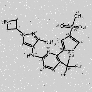 Cc1nn(C2CNC2)cc1Nc1ncc(C(F)(F)F)c(-c2cc(S(C)(=O)=O)cs2)n1